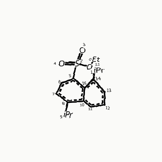 CCOS(=O)(=O)c1ccc(C(C)C)c2cccc(C(C)C)c12